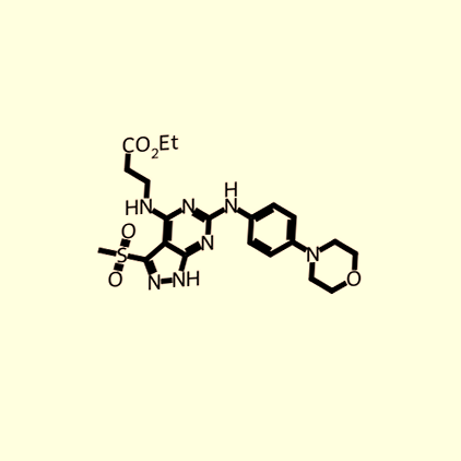 CCOC(=O)CCNc1nc(Nc2ccc(N3CCOCC3)cc2)nc2[nH]nc(S(C)(=O)=O)c12